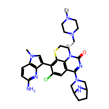 CCN1CCN(C[C@H]2CSc3c(-c4cn(C)c5ccc(N)nc45)c(Cl)cc4c(N5CC6CCC(C5)N6)nc(=O)n2c34)CC1